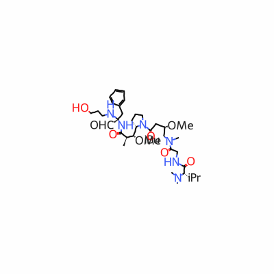 CC[C@H](C)[C@@H]([C@@H](CC(=O)N1CCC[C@H]1[C@H](OC)[C@@H](C)C(=O)N[C@@](C=O)(Cc1ccccc1)NCCCO)OC)N(C)C(=O)CNC(=O)[C@H](C(C)C)N(C)C